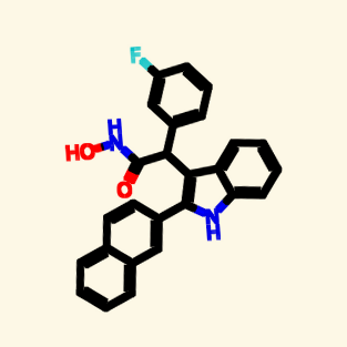 O=C(NO)C(c1cccc(F)c1)c1c(-c2ccc3ccccc3c2)[nH]c2ccccc12